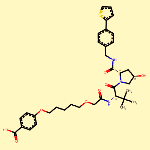 CC(C)(C)[C@H](NC(=O)COCCCCCOc1ccc(C(=O)O)cc1)C(=O)N1C[C@H](O)C[C@H]1C(=O)NCc1ccc(-c2cccs2)cc1